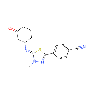 Cn1nc(-c2ccc(C#N)cc2)sc1=NC1CCCC(=O)C1